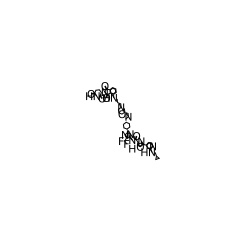 CN(C[C@@H]1CN(CCCNc2cccc3c2C(=O)N(C2CCC(=O)NC2=O)C3=O)CCO1)C[C@H]1CC[C@H](C2N=C(NC(=O)c3coc(-c4ccnc(NCC5CC5)c4)n3)C(C(F)F)=N2)CC1